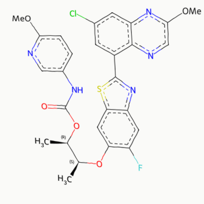 COc1ccc(NC(=O)O[C@H](C)[C@H](C)Oc2cc3sc(-c4cc(Cl)cc5nc(OC)cnc45)nc3cc2F)cn1